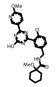 COc1ccc(-c2nc(O)nc(-c3cc(CNC(=O)C4(OC)CCCCC4)ccc3Cl)n2)cn1